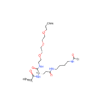 CCCCCC(=O)N[C@@H](CCC(=O)NCCCCNC(=O)CC)C(=O)NCCOCCOCCOCCOC